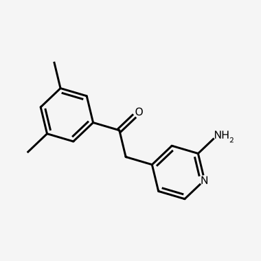 Cc1cc(C)cc(C(=O)Cc2ccnc(N)c2)c1